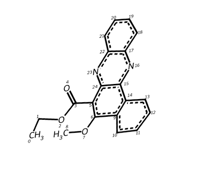 CCOC(=O)c1c(OC)c2ccccc2c2nc3ccccc3nc12